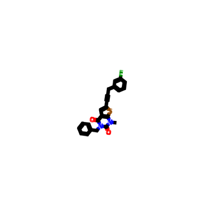 Cn1c(=O)n(Cc2ccccc2)c(=O)c2cc(C#CCc3cccc(F)c3)sc21